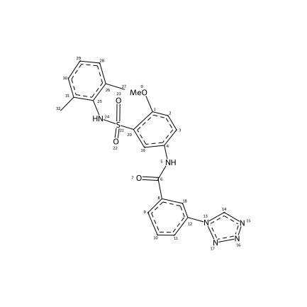 COc1ccc(NC(=O)c2cccc(-n3cnnn3)c2)cc1S(=O)(=O)Nc1c(C)cccc1C